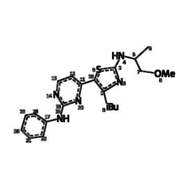 CCC(C)c1nc(NC(C)COC)sc1-c1ccnc(Nc2ccccc2)n1